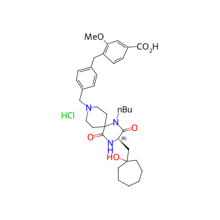 CCCCN1C(=O)[C@@H](CC2(O)CCCCCC2)NC(=O)C12CCN(Cc1ccc(Cc3ccc(C(=O)O)cc3OC)cc1)CC2.Cl